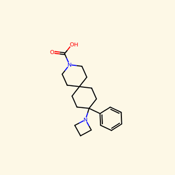 O=C(O)N1CCC2(CC1)CCC(c1ccccc1)(N1CCC1)CC2